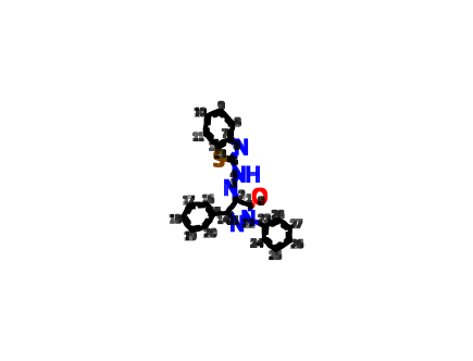 O=C1/C(=N\Nc2nc3ccccc3s2)C(c2ccccc2)=NN1c1ccccc1